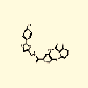 O=C(NCC1=CNC(c2ccc(O)cc2)S1)c1ccc2c(c1)NC(=O)c1c(F)cccc1S2